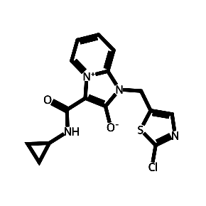 O=C(NC1CC1)c1c([O-])n(Cc2cnc(Cl)s2)c2cccc[n+]12